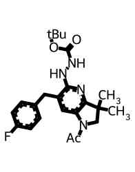 CC(=O)N1CC(C)(C)c2nc(NNC(=O)OC(C)(C)C)c(Cc3ccc(F)cc3)cc21